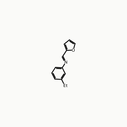 CCc1cccc(/N=C/c2ccco2)c1